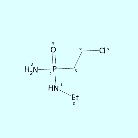 CCNP(N)(=O)CCCl